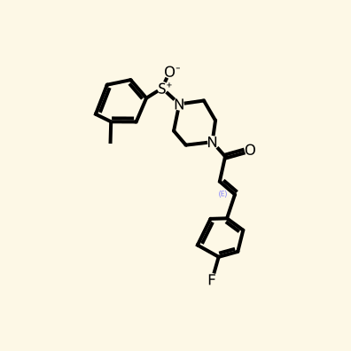 Cc1cccc([S+]([O-])N2CCN(C(=O)/C=C/c3ccc(F)cc3)CC2)c1